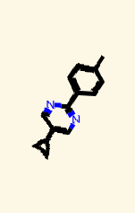 Cc1ccc(-c2ncc(C3CC3)cn2)cc1